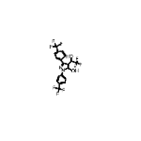 OC1C(C(O)C(F)(F)F)C(c2ccc(C(F)(F)F)cc2)=NN1c1ccc(C(F)(F)F)cc1